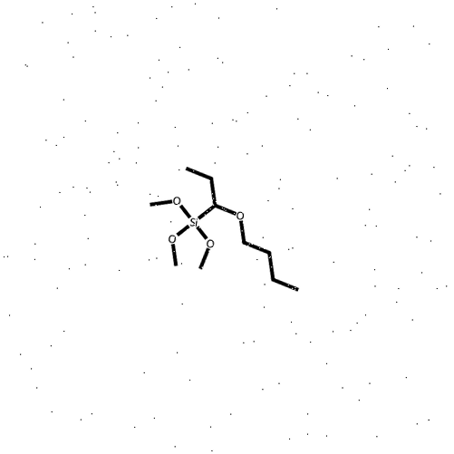 CCCCOC(CC)[Si](OC)(OC)OC